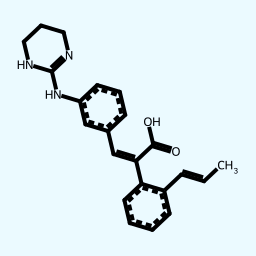 CC=Cc1ccccc1C(=Cc1cccc(NC2=NCCCN2)c1)C(=O)O